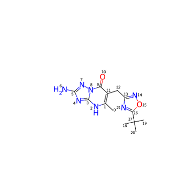 Cc1[nH]c2nc(N)nn2c(=O)c1Cc1noc(C(C)(C)C)n1